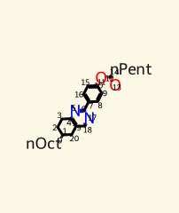 CCCCCCCCC1CCc2nc(-c3ccc(OC(=O)CCCCC)cc3)ncc2C1